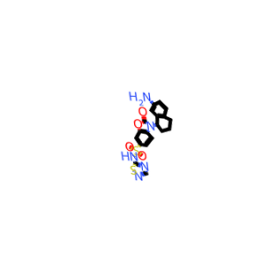 Nc1ccc2c(c1)C(n1c(=O)oc3cc(S(=O)(=O)Nc4ncns4)ccc31)CCC2